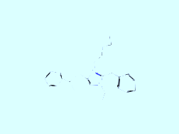 CCCCC[n+]1c(CC(C)c2ccccc2)cn(CC)c1Cc1ccccc1